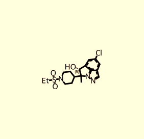 CCS(=O)(=O)N1CCC(C2(C)[C@H](O)c3cc(Cl)cc4cnn2c34)CC1